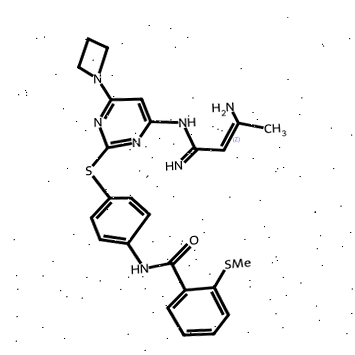 CSc1ccccc1C(=O)Nc1ccc(Sc2nc(NC(=N)/C=C(/C)N)cc(N3CCC3)n2)cc1